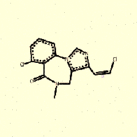 CN1Cc2c(/C=C\Cl)ncn2-c2cccc(Cl)c2C1=O